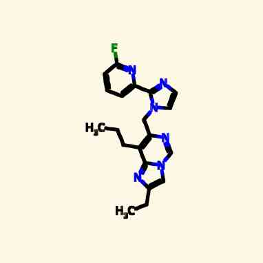 CCCc1c(Cn2ccnc2-c2cccc(F)n2)ncn2cc(CC)nc12